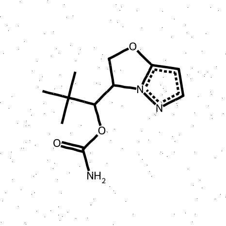 CC(C)(C)C(OC(N)=O)C1COc2ccnn21